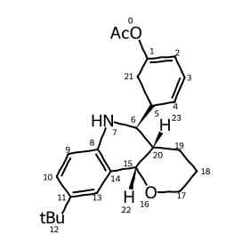 CC(=O)OC1=CC=CC([C@@H]2Nc3ccc(C(C)(C)C)cc3[C@H]3OCCC[C@H]32)C1